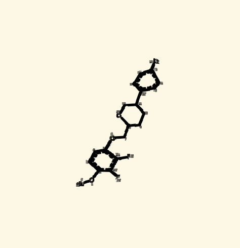 CCCCOc1ccc(OCC2CCC(c3ccc(CC)cc3)CO2)c(F)c1F